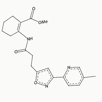 COC(=O)C1=C(NC(=O)CCc2cc(-c3ccc(C)cn3)no2)CCCC1